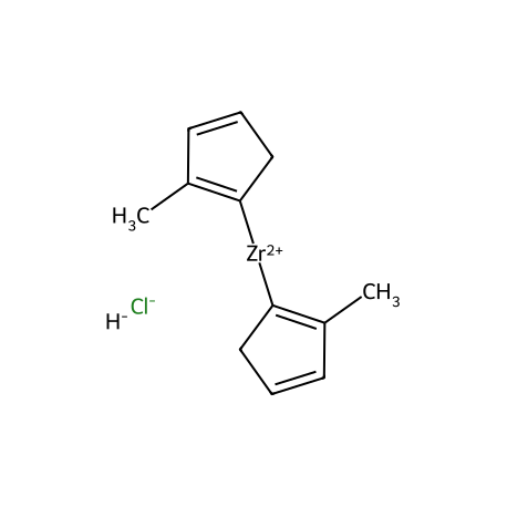 CC1=[C]([Zr+2][C]2=C(C)C=CC2)CC=C1.[Cl-].[H-]